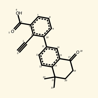 C#Cc1c(C(=O)O)cccc1-c1ccc2c(c1)C(=O)CCC2(C)C